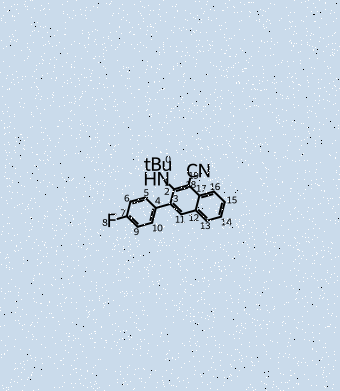 CC(C)(C)Nc1c(-c2ccc(F)cc2)cc2ccccc2c1C#N